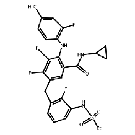 CCS(=O)(=O)Nc1cccc(Cc2cc(C(=O)NC3CC3)c(Nc3ccc(C)cc3F)c(F)c2F)c1F